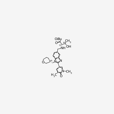 Cc1cc(-c2nc3cc(CN[C@H](C(=O)OCC(C)C)[C@@H](C)O)ccc3n2C[C@H]2CCCOC2)cn(C)c1=O